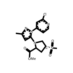 COC(=O)C1C[C@@H](S(C)(=O)=O)CN1c1cc(C)nn1-c1ccnc(Cl)c1